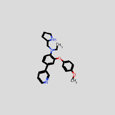 CCN(CC1CCCN1)c1ccc(-c2cccnc2)cc1Oc1ccc(OC)cc1